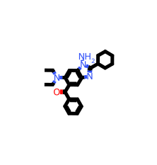 CCN(CC)c1cc2c(cc1C(=O)c1ccccc1)nc(C1CCCCC1)n2N